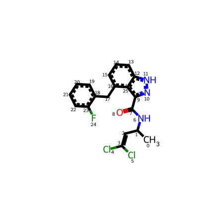 CC(C=C(Cl)Cl)NC(=O)c1n[nH]c2cccc(Cc3ccccc3F)c12